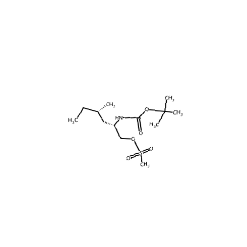 CC[C@H](C)C[C@@H](COS(C)(=O)=O)NC(=O)OC(C)(C)C